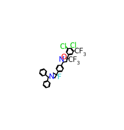 FC(F)(F)c1cc([C@]2(C(F)(F)F)CC(c3ccc(C4(F)CN(C(c5ccccc5)c5ccccc5)C4)cc3)=NO2)cc(Cl)c1Cl